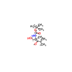 CC(C)C(=O)[C@@](C)(CO)NC(=O)OC(C)(C)C